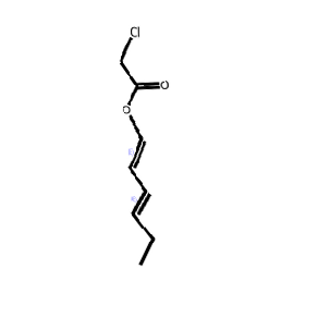 CC/C=C/C=C/OC(=O)CCl